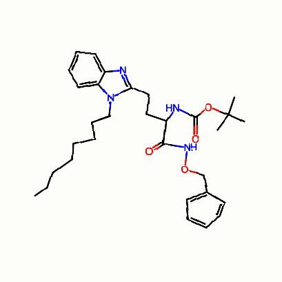 CCCCCCCCn1c(CCC(NC(=O)OC(C)(C)C)C(=O)NOCc2ccccc2)nc2ccccc21